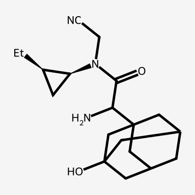 CC[C@@H]1C[C@@H]1N(CC#N)C(=O)C(N)C12CC3CC(CC(O)(C3)C1)C2